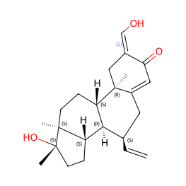 C=C[C@@H]1CC2=CC(=O)/C(=C\O)C[C@]2(C)[C@H]2CC[C@@]3(C)[C@@H](CC[C@]3(C)O)[C@H]12